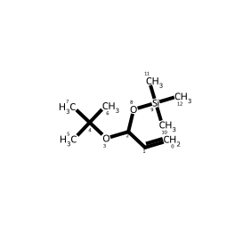 C=CC(OC(C)(C)C)O[Si](C)(C)C